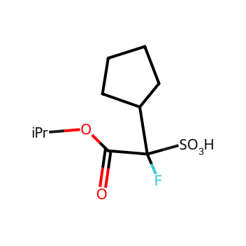 CC(C)OC(=O)C(F)(C1CCCC1)S(=O)(=O)O